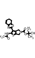 CC(=O)Nc1sc2c(c1-c1nc3c(s1)CCC=C3)CN(C(=O)OC(C)(C)C)C2